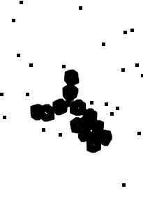 c1ccc(-c2ccc(N(c3ccc(-c4ccc5ccccc5c4)cc3)c3ccc(-c4cccc5c4-c4ccccc4C54c5ccccc5C(c5ccccc5)(c5ccccc5)c5ccccc54)cc3)cc2)cc1